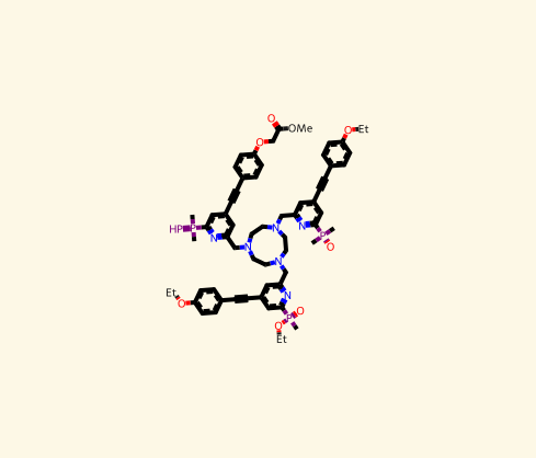 CCOc1ccc(C#Cc2cc(CN3CCN(Cc4cc(C#Cc5ccc(OCC)cc5)cc(P(C)(=O)OCC)n4)CCN(Cc4cc(C#Cc5ccc(OCC(=O)OC)cc5)cc(P(C)(C)=P)n4)CC3)nc(P(C)(C)=O)c2)cc1